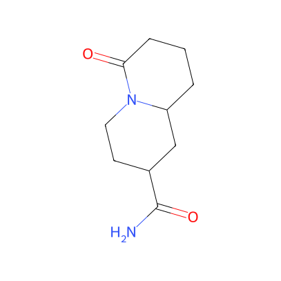 NC(=O)C1CCN2C(=O)CCCC2C1